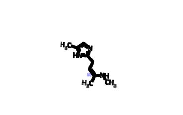 CN/C(C)=C\Cc1ncc(C)[nH]1